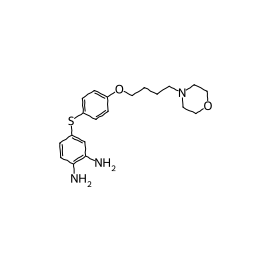 Nc1ccc(Sc2ccc(OCCCCN3CCOCC3)cc2)cc1N